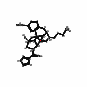 COc1ccc2c(c1)C13CCN(CCCN)C(C2)C12CCC1C3[C@@H](CN1C(=O)c1ccoc1)C2